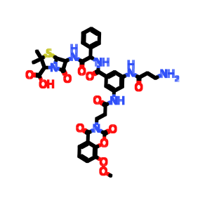 COOc1cccc2c(=O)n(CCC(=O)Nc3cc(NC(=O)CCN)cc(C(=O)NC(C(=O)NC4C(=O)N5C4SC(C)(C)C5C(=O)O)c4ccccc4)c3)c(=O)oc12